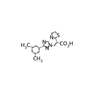 Cc1cc(C)cc(-c2ncn(/C=C(/C(=O)O)c3nccs3)n2)c1